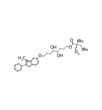 Cn1c(-c2ccccc2)cc2ccc(OCCCC(O)C(O)CCCOC(=O)C(C)(CC(C)(C)C)C(C)(C)C)cc21